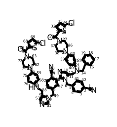 N#Cc1ccc(Cn2cncc2CN(Cc2ccccc2)c2ccc(N3CCN(C(=O)c4ccc(Cl)s4)CC3)cc2)cc1.N#Cc1ccc(Cn2cncc2CNc2ccc(N3CCN(C(=O)c4ccc(Cl)s4)CC3)cc2)cc1